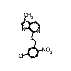 Cn1cnc2c(SCc3cc(Cl)ccc3[N+](=O)[O-])nccc21